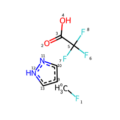 CF.O=C(O)C(F)(F)F.c1cn[nH]c1